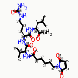 BC(=O)[C@H](CC(C)C)NC(=O)[C@H](CCCNC(N)=O)NC(=O)C(NC(=O)CCCCCN1C(=O)C=CC1=O)C(C)C